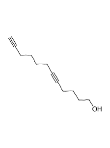 C#CCCCCC#CCCCCO